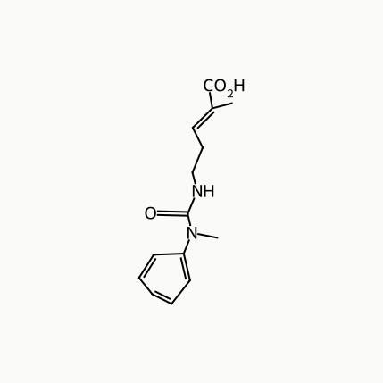 CC(=CCCNC(=O)N(C)c1ccccc1)C(=O)O